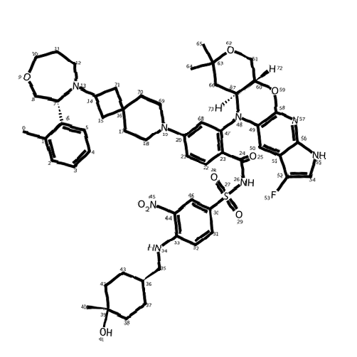 Cc1ccccc1[C@@H]1COCCCN1C1CC2(CCN(c3ccc(C(=O)NS(=O)(=O)c4ccc(NC[C@H]5CC[C@](C)(O)CC5)c([N+](=O)[O-])c4)c(N4c5cc6c(F)c[nH]c6nc5O[C@H]5COC(C)(C)C[C@@H]54)c3)CC2)C1